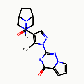 CCN1CC2CCC(C1)N2C(=O)c1cnn(-c2nn3cccc3c(=O)[nH]2)c1C